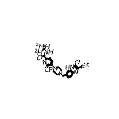 [2H]C([2H])([2H])NC(=O)c1ccc(N2CCN(Cc3ccc4nc(CC)c(=O)[nH]c4c3)CC2)c(C(F)(F)F)n1